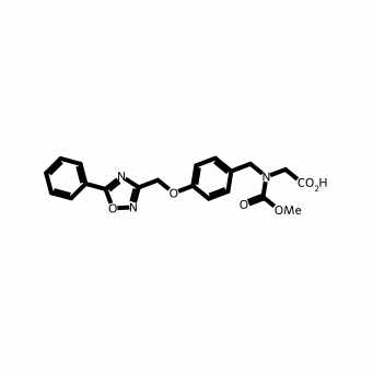 COC(=O)N(CC(=O)O)Cc1ccc(OCc2noc(-c3ccccc3)n2)cc1